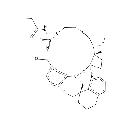 CCC(=O)N[S@@]1(=O)=NC(=O)c2ccc3c(c2)N(C[C@@H]2CC[C@H]2[C@@H](OC)CCCCC1)C[C@@]1(CCCc2ccccc21)CO3